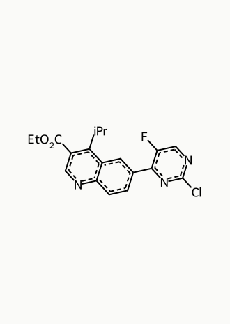 CCOC(=O)c1cnc2ccc(-c3nc(Cl)ncc3F)cc2c1C(C)C